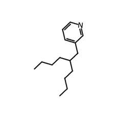 CCCCC(CCCC)Cc1cccnc1